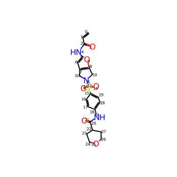 C=CC(=O)Nc1cc2c(o1)CN(S(=O)(=O)c1ccc(NC(=O)C3CCOCC3)cc1)C2